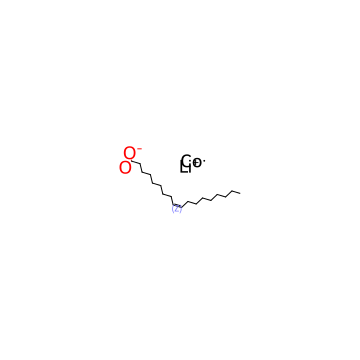 CCCCCCCC/C=C\CCCCCCCC(=O)[O-].[Co].[Li+]